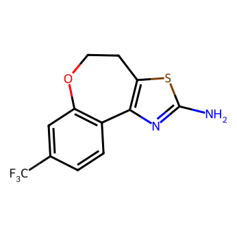 Nc1nc2c(s1)CCOc1cc(C(F)(F)F)ccc1-2